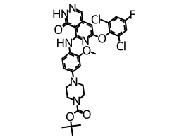 COc1cc(N2CCN(C(=O)OC(C)(C)C)CC2)ccc1Nc1nc(Oc2c(Cl)cc(F)cc2Cl)cc2cn[nH]c(=O)c12